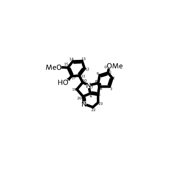 COc1ccc2c3c4n(c2c1)C(c1cccc(OC)c1O)CC4=NCC3